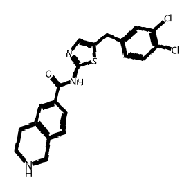 O=C(Nc1ncc(Cc2ccc(Cl)c(Cl)c2)s1)c1ccc2c(c1)CCNC2